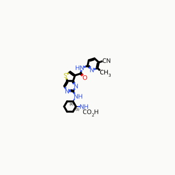 Cc1nc(NC(=O)c2csc3cnc(N[C@@H]4CCCC[C@@H]4NC(=O)O)nc23)ccc1C#N